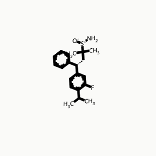 CC(C)c1ccc([C@@H](CC(C)(C)[S+](N)[O-])c2ccccc2)cc1F